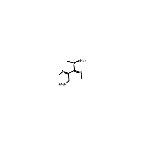 [CH2]CCCCCN(C)C(=NC)C(C[N]C)=NC